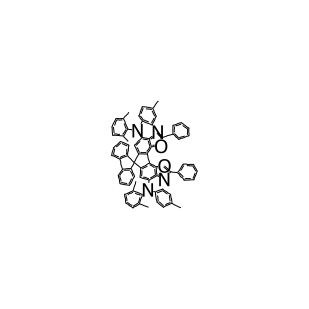 Cc1ccc(N(c2c(C)cccc2C)c2cc3c(c4oc(-c5ccccc5)nc24)-c2c(cc(N(c4ccc(C)cc4)c4c(C)cccc4C)c4nc(-c5ccccc5)oc24)C32c3ccccc3-c3ccccc32)cc1